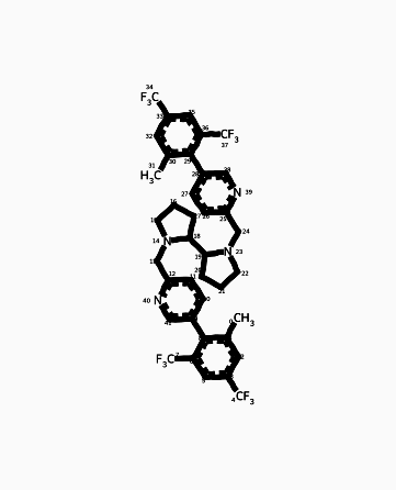 Cc1cc(C(F)(F)F)cc(C(F)(F)F)c1-c1ccc(CN2CCCC2C2CCCN2Cc2ccc(-c3c(C)cc(C(F)(F)F)cc3C(F)(F)F)cn2)nc1